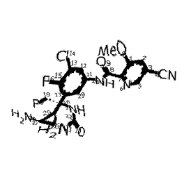 COc1cc(C#N)cnc1C(=O)Nc1cc(Cl)c(F)c([C@@](CF)(NC(N)=O)[C@H]2C[C@H]2N)c1